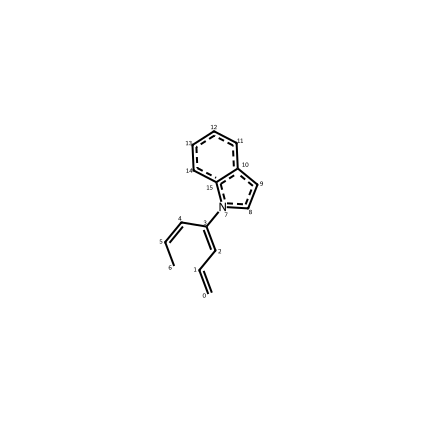 C=C/C=C(\C=C/C)n1ccc2ccccc21